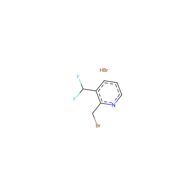 Br.FC(F)c1cccnc1CBr